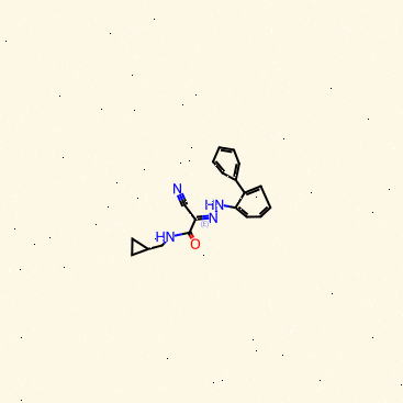 N#C/C(=N\Nc1ccccc1-c1ccccc1)C(=O)NCC1CC1